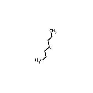 CC[CH2][Al][CH2]CC